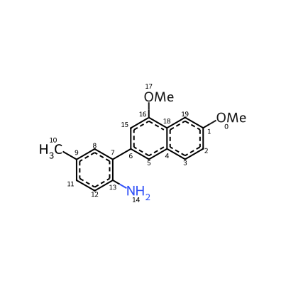 COc1ccc2cc(-c3cc(C)ccc3N)cc(OC)c2c1